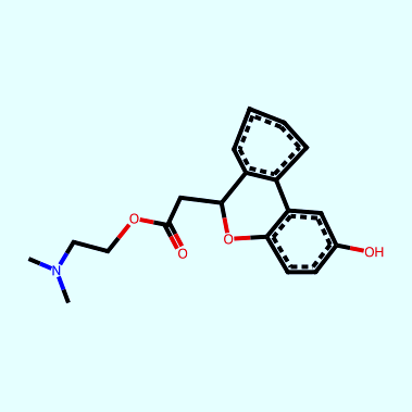 CN(C)CCOC(=O)CC1Oc2ccc(O)cc2-c2ccccc21